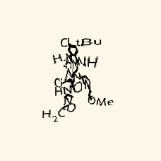 C=CC(=O)N1CC(NC(=O)c2c(Cl)nc(CNC(=N)c3cc(C(C)(C)C)c(Cl)cc3N)n2[C@@H]2CCN(CCOC)C2)C1